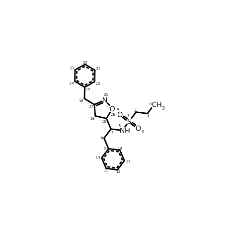 CCCS(=O)(=O)NC(Cc1ccccc1)C1CC(Cc2ccccc2)=NO1